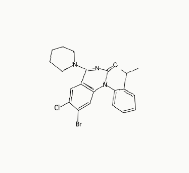 CC(C)c1ccccc1-n1c(=O)nc(N2CCCCC2)c2cc(Cl)c(Br)cc21